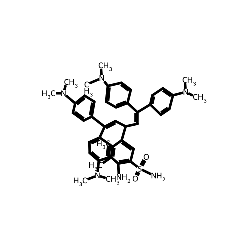 Cc1c(C(C=C(c2ccc(N(C)C)cc2)c2ccc(N(C)C)cc2)C=C(c2ccc(N(C)C)cc2)c2ccc(N(C)C)cc2)cc(S(N)(=O)=O)c(N)c1C